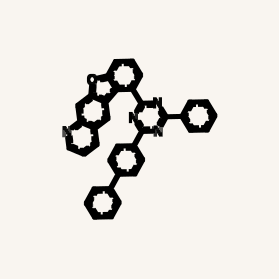 c1ccc(-c2ccc(-c3nc(-c4ccccc4)nc(-c4cccc5oc6cc7ncccc7cc6c45)n3)cc2)cc1